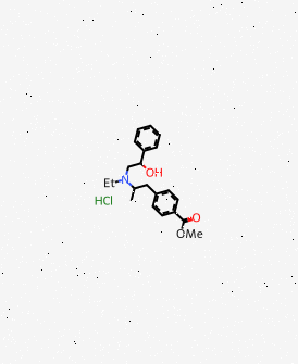 CCN(CC(O)c1ccccc1)C(C)Cc1ccc(C(=O)OC)cc1.Cl